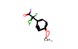 COc1ccc(C(F)(F)C(=O)I)cc1